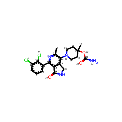 Cc1nc(-c2cccc(Cl)c2Cl)c2c(c1N1CCC(C)(OC(N)=O)CC1)CNC2=O